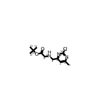 Cc1cc(CNCC(=O)OC(C)(C)C)nc(Cl)n1